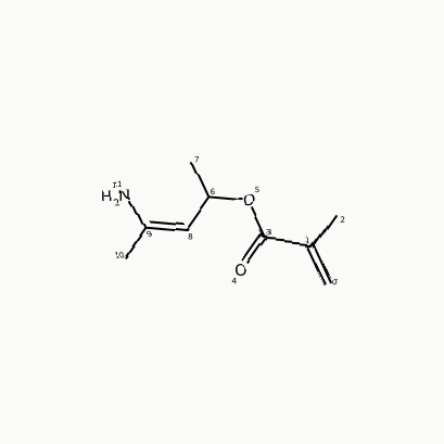 C=C(C)C(=O)OC(C)C=C(C)N